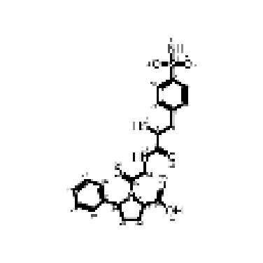 NS(=O)(=O)c1ccc(CC(S)C(=O)NCC(=O)N2C(C(=O)O)CCC2c2ccccc2)cc1